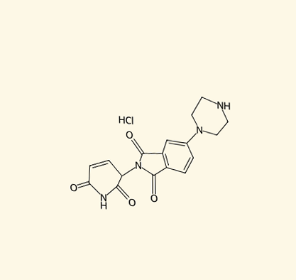 Cl.O=C1C=CC(N2C(=O)c3ccc(N4CCNCC4)cc3C2=O)C(=O)N1